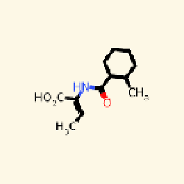 CC=C(NC(=O)C1CCCCC1C)C(=O)O